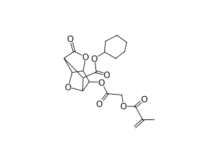 C=C(C)C(=O)OCC(=O)OC1C2OC(=O)C3C2OC1C3C(=O)OC1CCCCC1